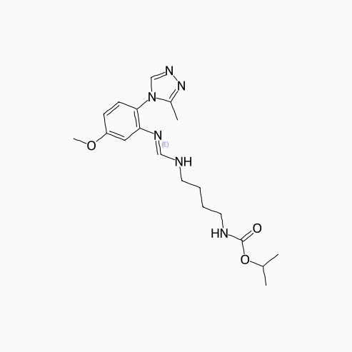 COc1ccc(-n2cnnc2C)c(/N=C/NCCCCNC(=O)OC(C)C)c1